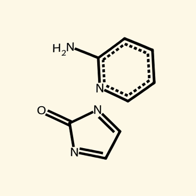 Nc1ccccn1.O=C1N=CC=N1